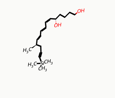 C[C@@H](/C=C/C=C/C=C\[C@@H](O)CCCCO)CC#C[Si](C)(C)C